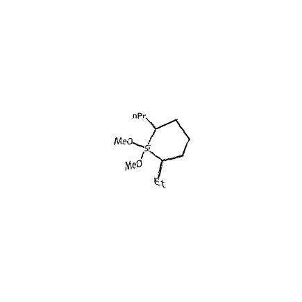 CCCC1CCCC(CC)[Si]1(OC)OC